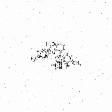 Cc1ccc(C(=O)N2CCCC(C)[C@H]2CNc2ncc(C(F)(F)F)cn2)c(-n2nccn2)c1F